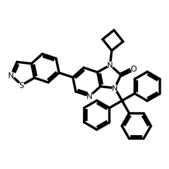 O=c1n(C2CCC2)c2cc(-c3ccc4cnsc4c3)cnc2n1C(c1ccccc1)(c1ccccc1)c1ccccc1